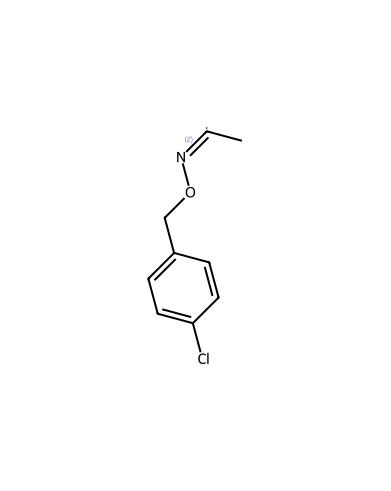 C/[C]=N\OCc1ccc(Cl)cc1